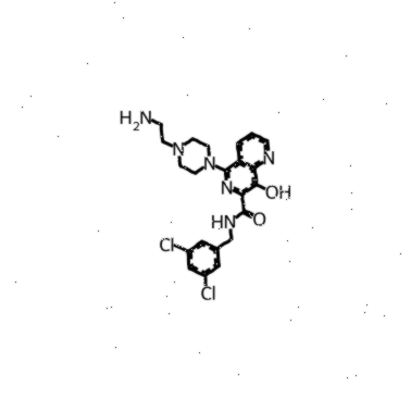 NCCN1CCN(c2nc(C(=O)NCc3cc(Cl)cc(Cl)c3)c(O)c3ncccc23)CC1